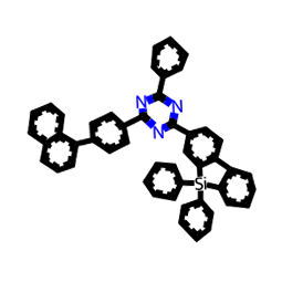 c1ccc(-c2nc(-c3ccc(-c4cccc5ccccc45)cc3)nc(-c3ccc4c(c3)[Si](c3ccccc3)(c3ccccc3)c3ccccc3-4)n2)cc1